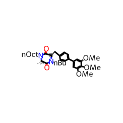 CCCCCCCCN1C(=O)[C@@H](Cc2ccc(-c3cc(OC)c(OC)c(OC)c3)cc2)N(CCCC)C(=O)[C@@H]1C